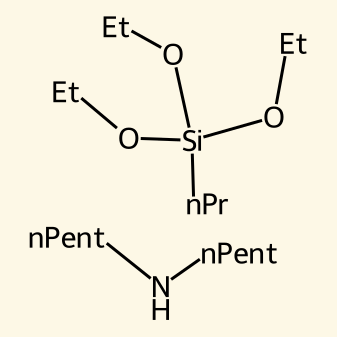 CCCCCNCCCCC.CCC[Si](OCC)(OCC)OCC